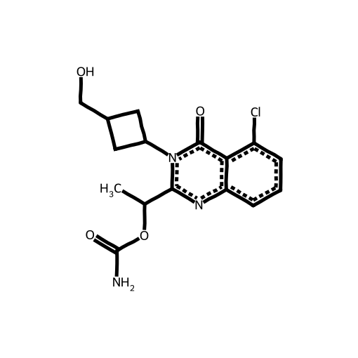 CC(OC(N)=O)c1nc2cccc(Cl)c2c(=O)n1C1CC(CO)C1